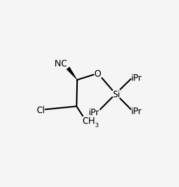 CC(Cl)[C@@H](C#N)O[Si](C(C)C)(C(C)C)C(C)C